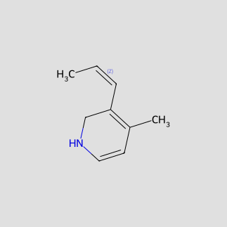 C/C=C\C1=C(C)C=CNC1